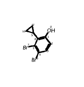 Oc1ccc(Br)c(Br)c1C1CC1